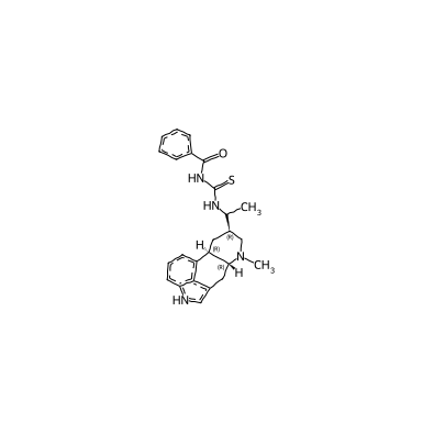 CC(NC(=S)NC(=O)c1ccccc1)[C@@H]1C[C@@H]2c3cccc4[nH]cc(c34)C[C@H]2N(C)C1